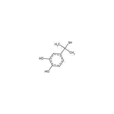 CC(C)(S)c1ccc(O)c(O)c1